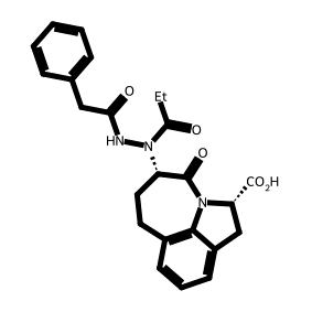 CCC(=O)N(NC(=O)Cc1ccccc1)[C@H]1CCc2cccc3c2N(C1=O)[C@H](C(=O)O)C3